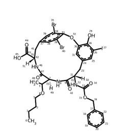 CCCCOC(C)[C@@H]1NC(=O)[C@@H](NC(=O)OCc2ccccc2)Cc2cc(I)c(O)c(c2)Oc2c(Br)cc(cc2Br)C[C@@H](C(=O)O)NC1=O